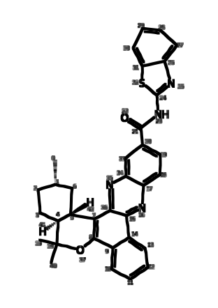 C[C@H]1CC[C@H]2[C@H](C1)c1c(c3ccccc3c3nc4ccc(C(=O)Nc5nc6ccccc6s5)cc4nc13)OC2(C)C